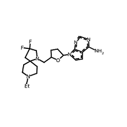 CCN1CCC2(CC1)CC(F)(F)CN2CC1CCC(n2ccc3c(N)ncnc32)O1